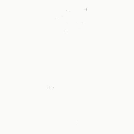 CCCCCCC(O)C/C=C\CCCCCC1OC1(C(C)=O)C(=O)O